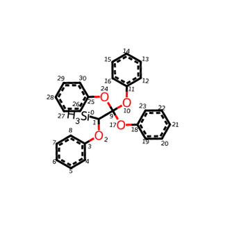 [SiH3]C(Oc1ccccc1)C(Oc1ccccc1)(Oc1ccccc1)Oc1ccccc1